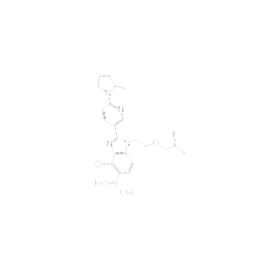 CC1CCCN1c1ccc(-c2nc3c(Cl)c(B(O)O)ccc3n2CCOCC(F)F)cn1